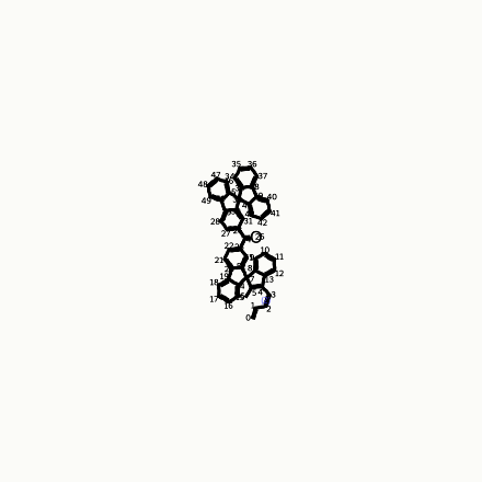 C=C/C=C\C1=C(C)C2(c3ccccc31)c1ccccc1-c1ccc(C(=O)c3ccc4c(c3)C3(c5ccccc5-c5ccccc53)c3ccccc3-4)cc12